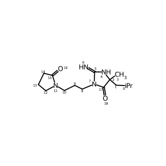 CC(C)CC1(C)NC(=N)N(CCCN2CCCC2=O)C1=O